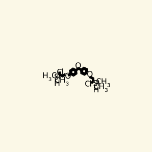 C[SiH](C)C(Cl)CCOc1ccc(C(=O)c2ccc(OCCC(Cl)[SiH](C)C)cc2)cc1